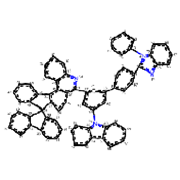 c1ccc(-n2c(-c3ccc(-c4cc(-c5nc6ccccc6c6c7c(ccc56)C5(c6ccccc6-c6ccccc65)c5ccccc5-7)cc(-n5c6ccccc6c6ccccc65)c4)cc3)nc3ccccc32)cc1